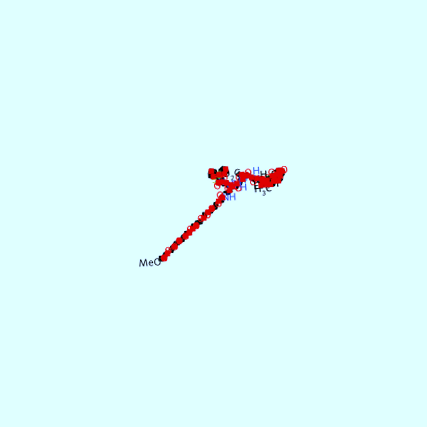 CCC(=O)OC1(C(=O)COCNC(=O)CNC(=O)[C@H](CCC(=O)O)NC(=O)CNC(=O)[C@H](CCCCNC(=O)CCOCCOCCOCCOCCOCCOCCOCCOCCOCCOCCOCCOC)NC(=O)CCN2C(=O)C(Sc3ccccc3)=C(Sc3ccccc3)C2=O)[C@@H](C)C[C@H]2[C@@H]3CCC4=CC(=O)C=C[C@]4(C)[C@@]3(Cl)[C@@H](O)C[C@@]21C